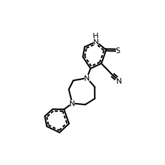 N#Cc1c(N2CCCN(c3ccccc3)CC2)cc[nH]c1=S